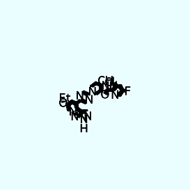 CCOc1cc(-c2cnc(N3CCC(C)(NC(=O)c4ncc(F)cc4Cl)CC3)cn2)c2c3cn[nH]c3nn2c1